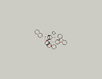 c1ccc(-c2cc(-c3cccc4c3C3(c5ccccc5C5(c6ccccc6-c6ccccc65)c5ccccc53)c3c-4ccc4c3oc3ccccc34)nc(-c3ccc4ccccc4c3)n2)cc1